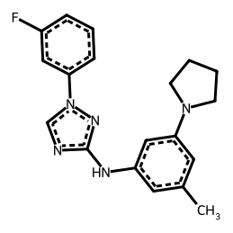 Cc1cc(Nc2ncn(-c3cccc(F)c3)n2)cc(N2CCCC2)c1